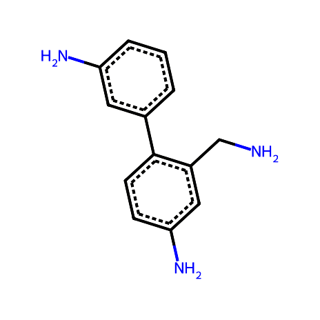 NCc1cc(N)ccc1-c1cccc(N)c1